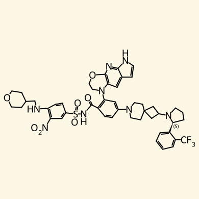 O=C(NS(=O)(=O)c1ccc(NCC2CCOCC2)c([N+](=O)[O-])c1)c1ccc(N2CCC3(CC2)CC(N2CCC[C@H]2c2ccccc2C(F)(F)F)C3)cc1N1CCOc2nc3[nH]ccc3cc21